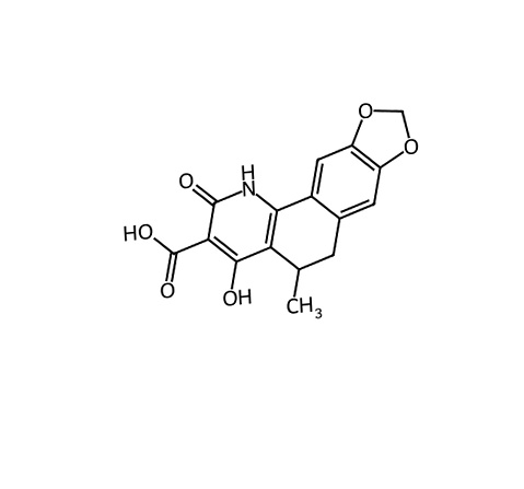 CC1Cc2cc3c(cc2-c2[nH]c(=O)c(C(=O)O)c(O)c21)OCO3